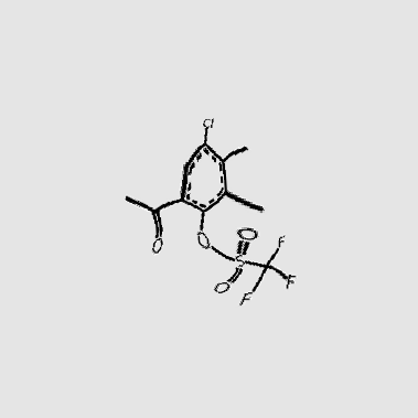 CC(=O)c1cc(Cl)c(C)c(C)c1OS(=O)(=O)C(F)(F)F